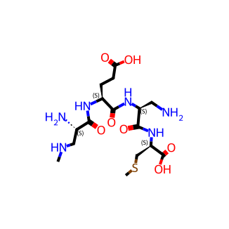 CNC[C@H](N)C(=O)N[C@@H](CCC(=O)O)C(=O)N[C@@H](CN)C(=O)N[C@H](CSC)C(=O)O